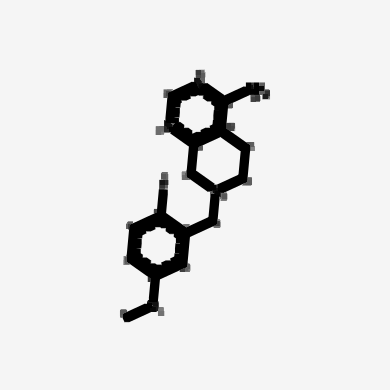 COc1ccc(F)c(CN2CCc3c(N)ncnc3C2)c1